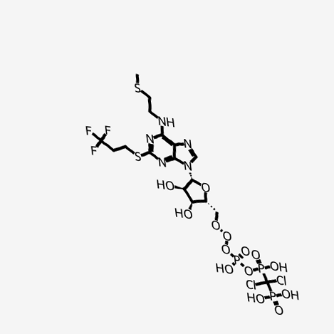 CSCCNc1nc(SCCC(F)(F)F)nc2c1ncn2[C@@H]1O[C@H](COOOP(=O)(O)OP(=O)(O)C(Cl)(Cl)P(=O)(O)O)[C@@H](O)[C@H]1O